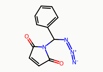 [N-]=[N+]=NC(c1ccccc1)N1C(=O)C=CC1=O